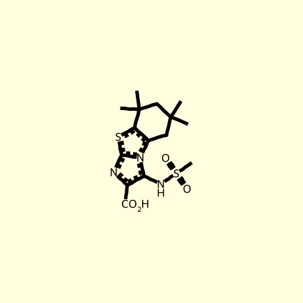 CC1(C)Cc2c(sc3nc(C(=O)O)c(NS(C)(=O)=O)n23)C(C)(C)C1